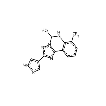 OC1Nc2c(cccc2C(F)(F)F)-c2nc(-c3cn[nH]c3)nn21